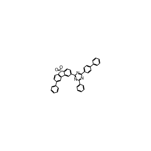 O=S1(=O)c2ccc(-c3ccccc3)cc2-c2cc(-c3nc(-c4ccccc4)nc(-c4ccc(-c5ccccc5)cc4)n3)ccc21